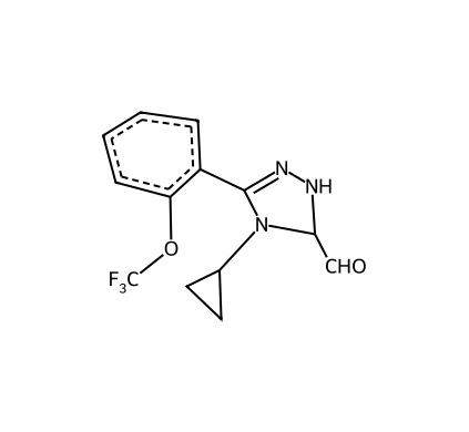 O=CC1NN=C(c2ccccc2OC(F)(F)F)N1C1CC1